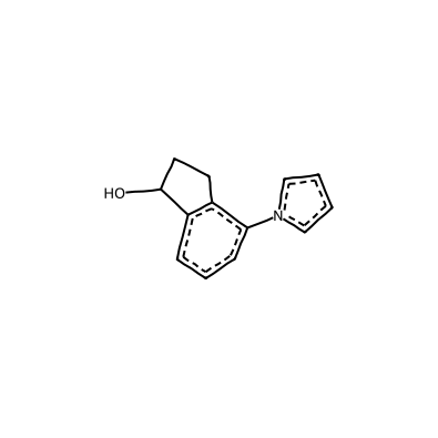 OC1CCc2c1cccc2-n1cccc1